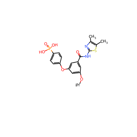 Cc1nc(NC(=O)c2cc(Oc3ccc(P(=O)(O)O)cc3)cc(OC(C)C)c2)sc1C